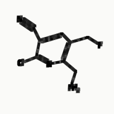 N#Cc1cc(CF)c(CP)nc1Cl